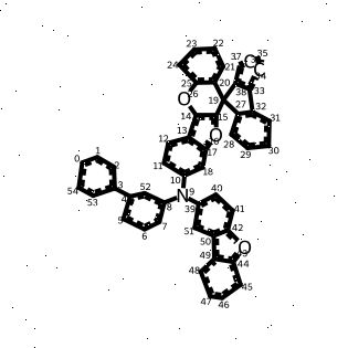 c1ccc(-c2cccc(N(c3ccc4c5c(oc4c3)C3(c4ccccc4O5)c4ccccc4-c4ccccc43)c3ccc4oc5ccccc5c4c3)c2)cc1